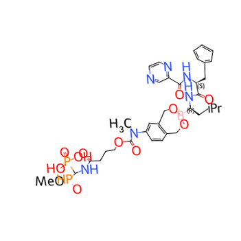 CO[PH](=O)C(NC(=O)CCCOC(=O)N(C)c1ccc2c(c1)COB([C@H](CC(C)C)NC(=O)[C@H](Cc1ccccc1)NC(=O)c1cnccn1)OC2)P(=O)(O)O